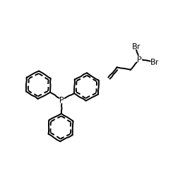 C=CCP(Br)Br.c1ccc(P(c2ccccc2)c2ccccc2)cc1